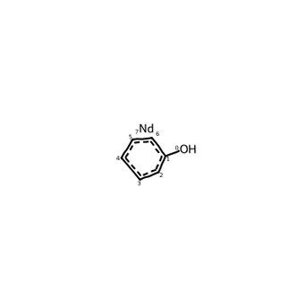 Oc1ccccc1.[Nd]